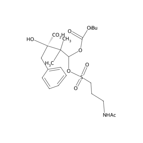 CC(=O)NCCCS(=O)(=O)OC(OC(=O)OCC(C)C)C(C)(C)[C@](O)(Cc1ccccc1)C(=O)O